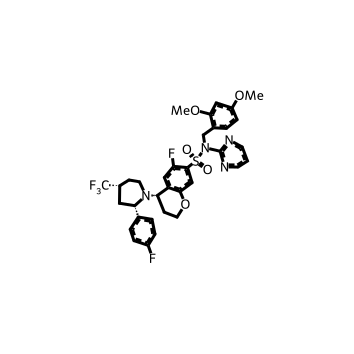 COc1ccc(CN(c2ncccn2)S(=O)(=O)c2cc3c(cc2F)[C@@H](N2CC[C@@H](C(F)(F)F)C[C@H]2c2ccc(F)cc2)CCO3)c(OC)c1